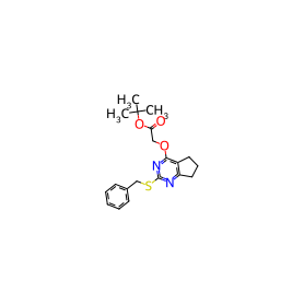 CC(C)(C)OC(=O)COc1nc(SCc2ccccc2)nc2c1CCC2